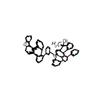 CC1(C)c2ccccc2-c2ccc(N(c3cccc(-c4cccc5c6ccc7oc8ccccc8c7c6c6ccccc6c45)c3)c3ccccc3-c3ccc(-c4ccccc4)cc3)cc21